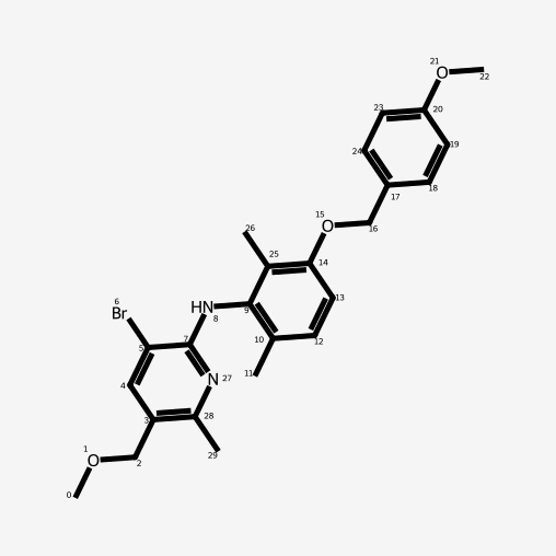 COCc1cc(Br)c(Nc2c(C)ccc(OCc3ccc(OC)cc3)c2C)nc1C